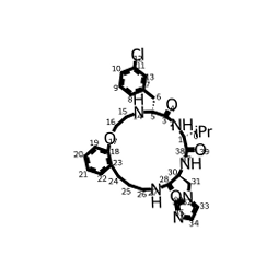 CC(C)[C@H]1NC(=O)[C@@H](Cc2cccc(Cl)c2)NCCOc2ccccc2CCCNC(=O)[C@H](Cn2ccnc2)NC1=O